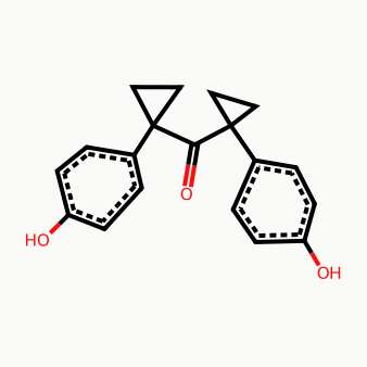 O=C(C1(c2ccc(O)cc2)CC1)C1(c2ccc(O)cc2)CC1